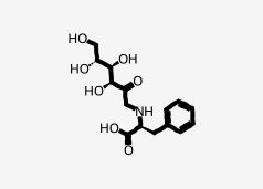 O=C(O)[C@H](Cc1ccccc1)NCC(=O)[C@@H](O)[C@H](O)[C@H](O)CO